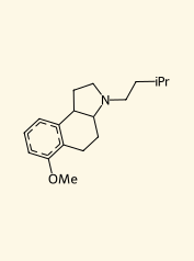 COc1cccc2c1CCC1C2CCN1CCC(C)C